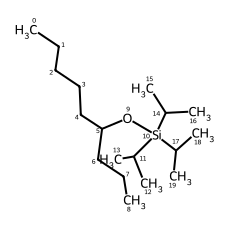 CCCCCC(CCC)O[Si](C(C)C)(C(C)C)C(C)C